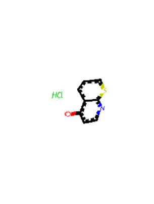 Cl.O=c1ccnc2scccc1-2